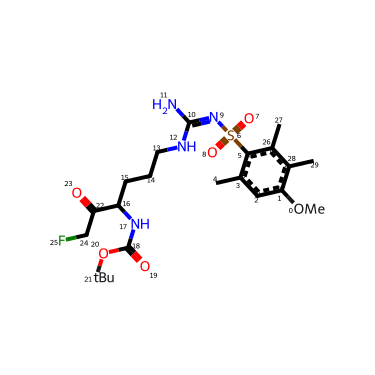 COc1cc(C)c(S(=O)(=O)N=C(N)NCCCC(NC(=O)OC(C)(C)C)C(=O)CF)c(C)c1C